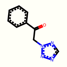 O=C(Cn1ncnn1)c1ccccc1